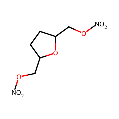 O=[N+]([O-])OCC1CCC(CO[N+](=O)[O-])O1